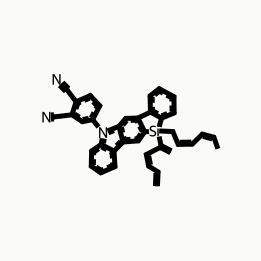 C=C/C=C\C(=C)[Si]1(C/C=C\C=C/C)c2ccccc2-c2cc3c(cc21)c1ccccc1n3-c1ccc(C#N)c(C#N)c1